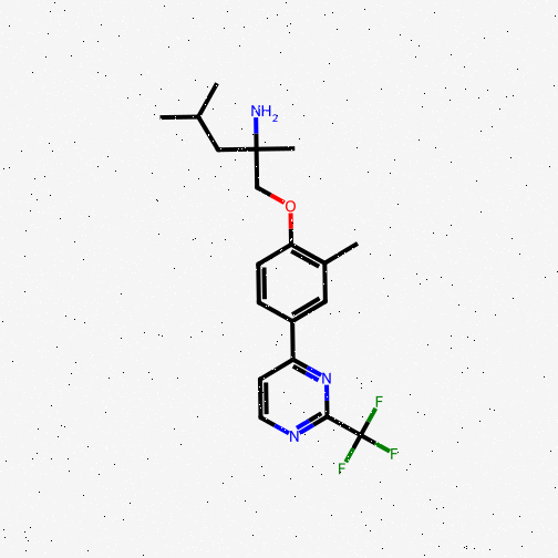 Cc1cc(-c2ccnc(C(F)(F)F)n2)ccc1OCC(C)(N)CC(C)C